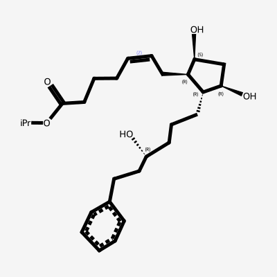 CC(C)OC(=O)CCC/C=C\C[C@@H]1[C@@H](CCC[C@@H](O)CCc2ccccc2)[C@H](O)C[C@@H]1O